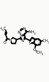 CC#CC(=O)N1CCC(c2nc(-c3cc4cc(C)cc(OC)c4s3)c3c(N)ncnn23)C1